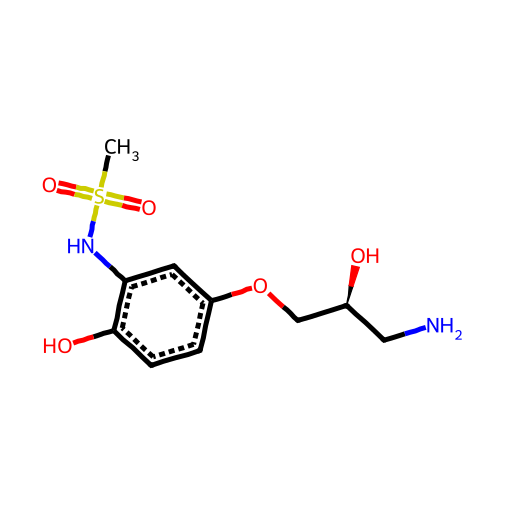 CS(=O)(=O)Nc1cc(OC[C@@H](O)CN)ccc1O